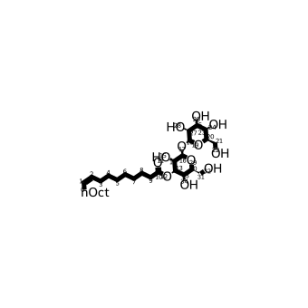 CCCCCCCC/C=C\CCCCCCCC(=O)O[C@@H]1[C@@H](O)[C@@H](O[C@H]2O[C@H](CO)[C@@H](O)[C@H](O)[C@H]2O)O[C@H](CO)[C@H]1O